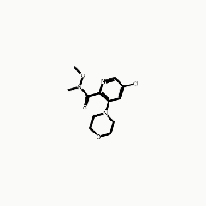 CON(C)C(=O)c1ncc(Cl)cc1N1CCOCC1